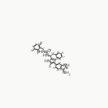 Cc1ccc(F)c(CNC(=O)N[C@@H](Cc2ccccc2)c2nc(-c3ccc4c(N)n[nH]c4c3)c(C)[nH]2)c1F